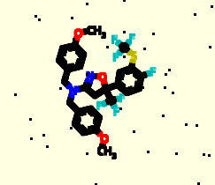 COc1ccc(CN(Cc2ccc(OC)cc2)C2=NOC(c3ccc(F)c(SC(F)(F)F)c3)(C(F)(F)F)C2)cc1